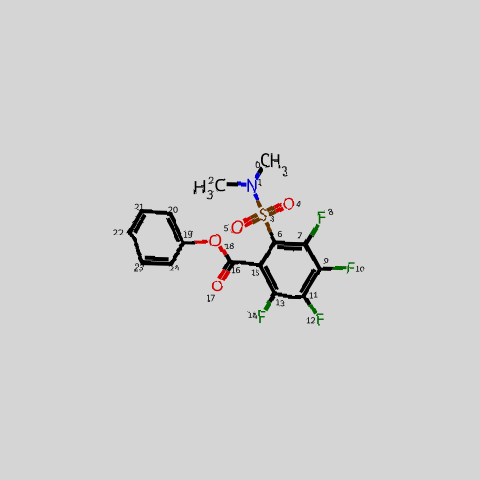 CN(C)S(=O)(=O)c1c(F)c(F)c(F)c(F)c1C(=O)Oc1ccccc1